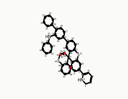 C1=CCNC(c2ccc3c(c2)Sc2ccc(-c4ccc(-c5ccccc5)c(Nc5ccccc5)c4)cc2C32c3ccccc3Sc3ccccc32)=C1